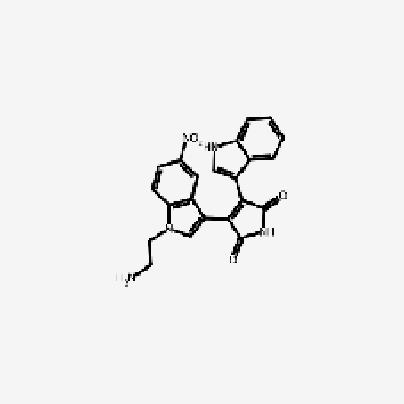 NCCn1cc(C2=C(c3c[nH]c4ccccc34)C(=O)NC2=O)c2cc([N+](=O)[O-])ccc21